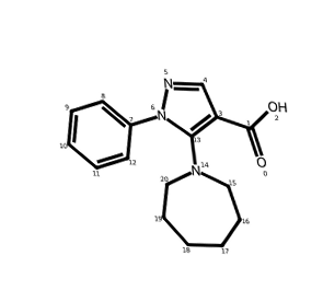 O=C(O)c1cnn(-c2ccccc2)c1N1CCCCCC1